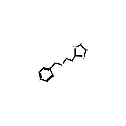 c1ccc(COCCC2OCCO2)cc1